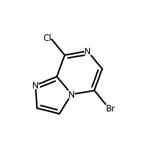 Clc1ncc(Br)n2ccnc12